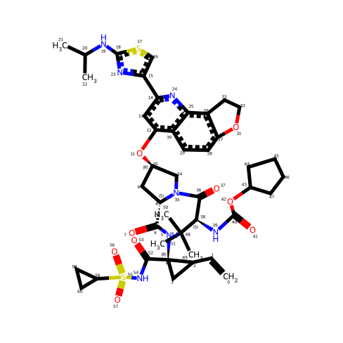 C=CC1C[C@]1(NC(=O)[C@@H]1C[C@@H](Oc2cc(-c3csc(NC(C)C)n3)nc3c4c(ccc23)OCC4)CN1C(=O)[C@@H](NC(=O)OC1CCCC1)C(C)(C)C)C(=O)NS(=O)(=O)C1CC1